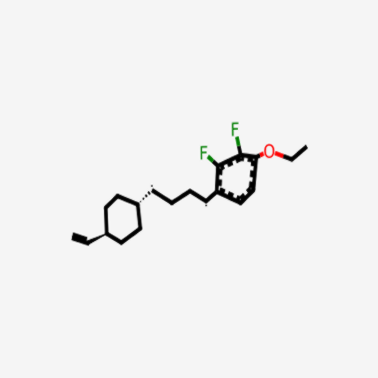 C=C[C@H]1CC[C@H]([CH]CC[CH]c2ccc(OCC)c(F)c2F)CC1